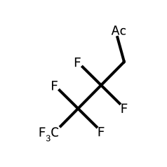 CC(=O)CC(F)(F)C(F)(F)C(F)(F)F